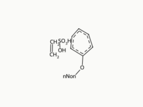 C=C.CCCCCCCCCOc1ccccc1.O=S(=O)(O)O